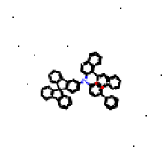 c1ccc(-c2ccc(N(c3ccc4c(c3)-c3ccccc3C43c4ccccc4-c4ccccc43)c3ccc4ccccc4c3-c3ccc4ccccc4c3)cc2)cc1